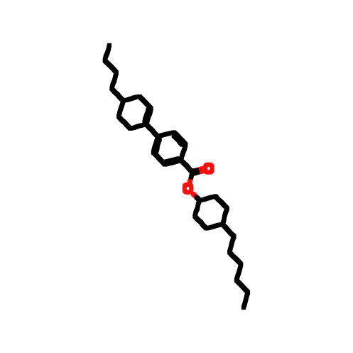 CCCCCCC1CCC(OC(=O)c2ccc(C3=CCC(CCCC)CC3)cc2)CC1